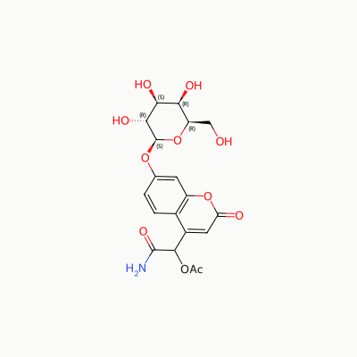 CC(=O)OC(C(N)=O)c1cc(=O)oc2cc(O[C@@H]3O[C@H](CO)[C@H](O)[C@H](O)[C@H]3O)ccc12